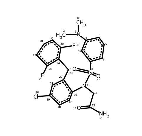 CN(C)c1cccc(S(=O)(=O)N(CC(N)=O)c2ccc(Cl)cc2Cc2c(F)cccc2F)c1